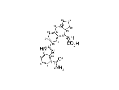 NC(=O)c1cccc2[nH]c(-c3ccc(CN4CCCC4CNC(=O)O)cc3)nc12